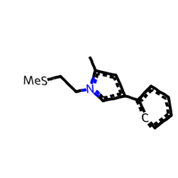 CSCCn1cc(-c2ccccc2)cc1C